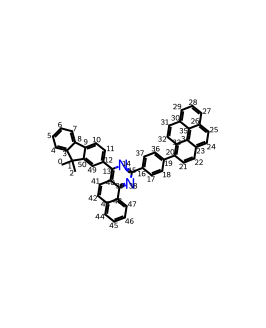 CC1(C)c2ccccc2-c2ccc(-c3nc(-c4ccc(-c5ccc6ccc7cccc8ccc5c6c78)cc4)nc4c3ccc3ccccc34)cc21